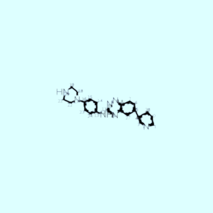 c1cncc(-c2ccc3nnc(Nc4ccc(N5CCNCC5)cc4)nc3c2)c1